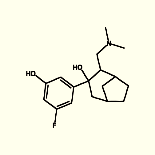 CN(C)CC1C2CCC(C2)CC1(O)c1cc(O)cc(F)c1